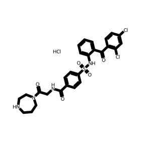 Cl.O=C(NCC(=O)N1CCCNCC1)c1ccc(S(=O)(=O)Nc2ccccc2C(=O)c2ccc(Cl)cc2Cl)cc1